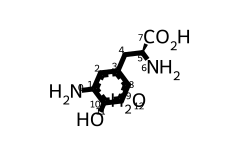 Nc1cc(C[C@H](N)C(=O)O)ccc1O.O